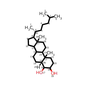 CC(C)CCC[C@@H](C)C1CCC2C3CC[C@H]4C(O)C(O)CCC4(C)C3CCC21C